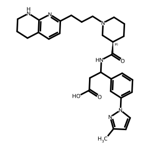 Cc1ccn(-c2cccc(C(CC(=O)O)NC(=O)[C@@H]3CCCN(CCCc4ccc5c(n4)NCCC5)C3)c2)n1